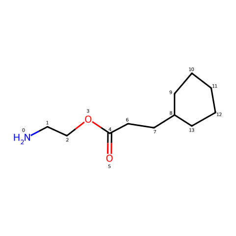 NCCOC(=O)CCC1CCCCC1